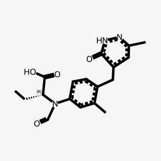 CC[C@H](C(=O)O)N(C=O)c1ccc(Cc2cc(C)n[nH]c2=O)c(C)c1